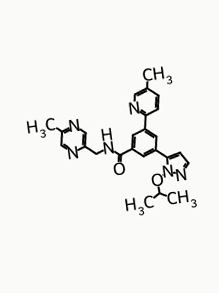 Cc1ccc(-c2cc(C(=O)NCc3cnc(C)cn3)cc(-c3ccnn3OC(C)C)c2)nc1